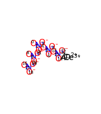 O=[N+]([O-])[O-].O=[N+]([O-])[O-].O=[N+]([O-])[O-].O=[N+]([O-])[O-].O=[N+]([O-])[O-].[Ce+3].[Zn+2]